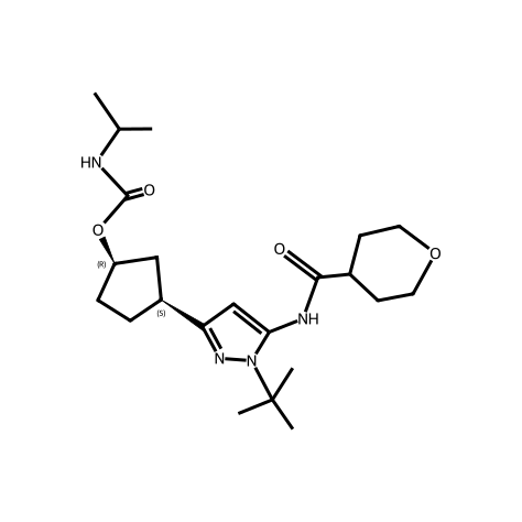 CC(C)NC(=O)O[C@@H]1CC[C@H](c2cc(NC(=O)C3CCOCC3)n(C(C)(C)C)n2)C1